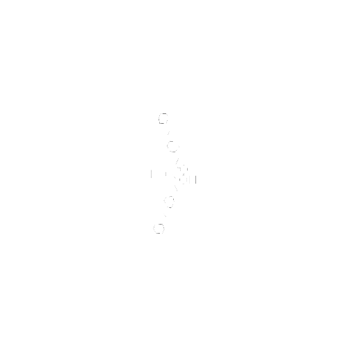 C/C(C(=O)/C=C/c1ccc(/C=C/c2ccccc2)cc1)=C(O)\C=C\c1ccc(/C=C/c2ccccc2)cc1